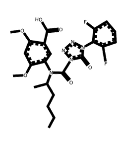 CCCCC(C)N(C(=O)n1nnn(-c2c(F)cccc2F)c1=O)c1cc(C(=O)O)c(OC)cc1OC